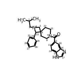 CC(C)CN1CC2(CCN(C(=O)c3ccc4[nH]cnc4c3)CC2)C1c1ccccc1